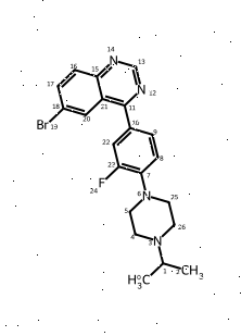 CC(C)N1CCN(c2ccc(-c3ncnc4ccc(Br)cc34)cc2F)CC1